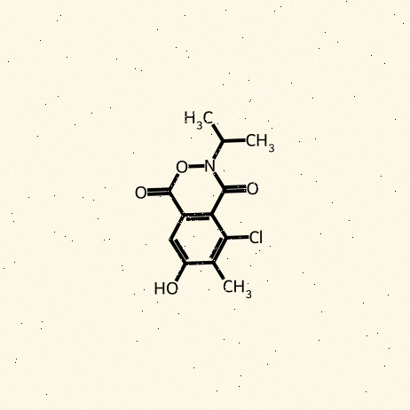 Cc1c(O)cc2c(=O)on(C(C)C)c(=O)c2c1Cl